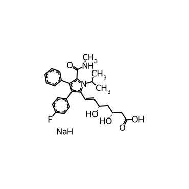 CNC(=O)c1c(-c2ccccc2)c(-c2ccc(F)cc2)c(C=C[C@@H](O)C[C@@H](O)CC(=O)O)n1C(C)C.[NaH]